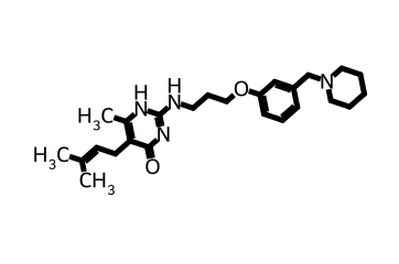 CC(C)=CCc1c(C)[nH]c(NCCCOc2cccc(CN3CCCCC3)c2)nc1=O